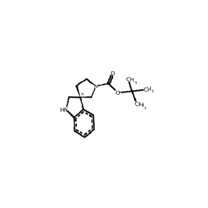 CC(C)(C)OC(=O)N1CC[C@@]2(CNc3ccccc32)C1